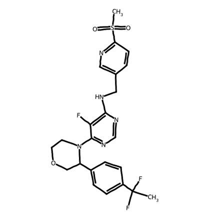 CC(F)(F)c1ccc(C2COCCN2c2ncnc(NCc3ccc(S(C)(=O)=O)nc3)c2F)cc1